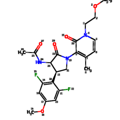 COCCn1ccc(C)c(N2C[C@@H](c3c(F)cc(OC)cc3F)C(NC(C)=O)C2=O)c1=O